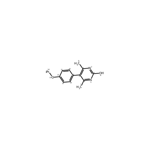 Cc1nc(O)nc(C)c1-c1ccc(OC(C)C)cc1